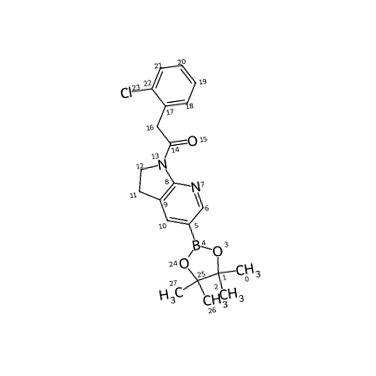 CC1(C)OB(c2cnc3c(c2)CCN3C(=O)Cc2ccccc2Cl)OC1(C)C